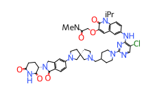 CNC(=O)COc1cc2cc(Nc3nc(N4CCC(CN5CC[C@]6(CCN(c7ccc8c(c7)CN([C@H]7CCC(=O)NC7=O)C8=O)C6)C5)CC4)ncc3Cl)ccc2n(C(C)C)c1=O